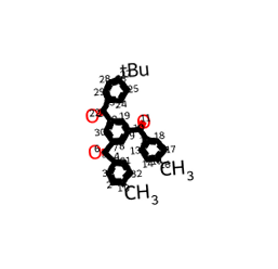 Cc1ccc(C(=O)c2cc(C(=O)c3ccc(C)cc3)cc(C(=O)c3ccc(C(C)(C)C)cc3)c2)cc1